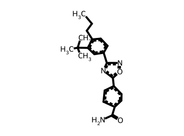 CCCc1ccc(-c2noc(-c3ccc(C(N)=O)cc3)n2)cc1C(C)(C)C